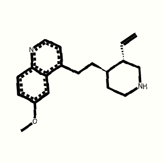 C=C[C@@H]1CNCC[C@H]1CCc1ccnc2ccc(OC)cc12